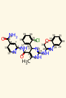 CC1=C(C(=O)Nc2cc(C(N)=O)ccn2)C(c2ccccc2Cl)N=C(NC2=Nc3ccccc3OC2)N1